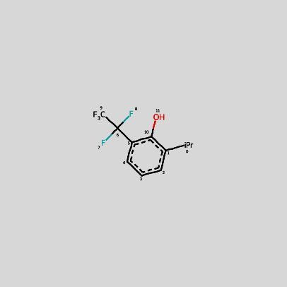 CC(C)c1cccc(C(F)(F)C(F)(F)F)c1O